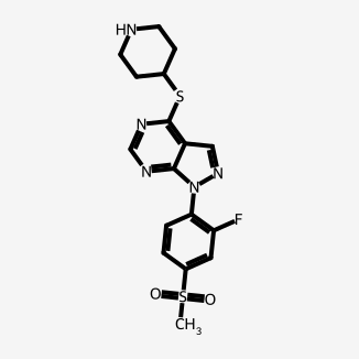 CS(=O)(=O)c1ccc(-n2ncc3c(SC4CCNCC4)ncnc32)c(F)c1